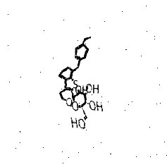 CCc1ccc(Cc2cccc3c4c(sc23)C2(OCC4)O[C@H](CO)[C@@H](O)[C@H](O)C2O)cc1